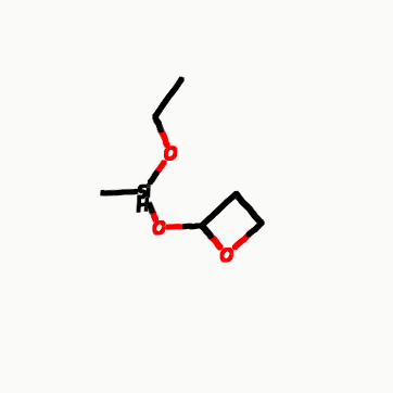 CCO[SiH](C)OC1CCO1